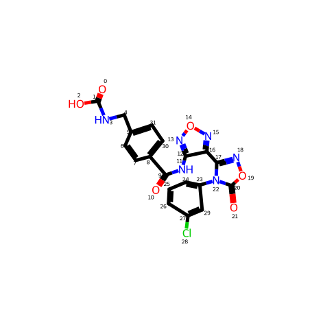 O=C(O)NCc1ccc(C(=O)Nc2nonc2-c2noc(=O)n2-c2cccc(Cl)c2)cc1